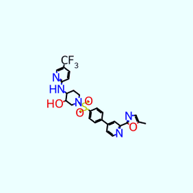 Cc1cnc(-c2cc(-c3ccc(S(=O)(=O)N4CCC(Nc5ccc(C(F)(F)F)cn5)C(O)C4)cc3)ccn2)o1